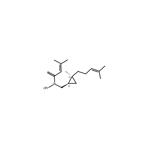 C=C(C=C(C)C)N(CCC)C[C@@H]1C[C@]1(C)CCC=C(C)C